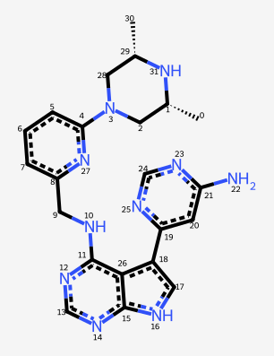 C[C@@H]1CN(c2cccc(CNc3ncnc4[nH]cc(-c5cc(N)ncn5)c34)n2)C[C@H](C)N1